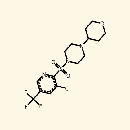 O=S(=O)(c1ncc(C(F)(F)F)cc1Cl)N1CCN(C2CCOCC2)CC1